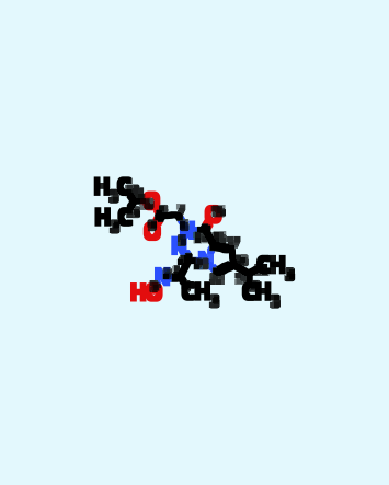 C/C(=N\O)c1nn(CC(=O)OC(C)C)c(=O)c2cc(C(C)C)cn12